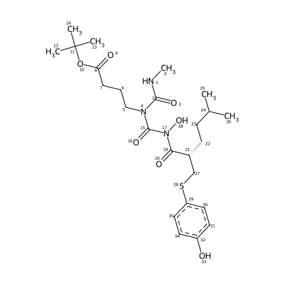 CNC(=O)N(CCCC(=O)OC(C)(C)C)C(=O)N(O)C(=O)[C@H](CCC(C)C)CSc1ccc(O)cc1